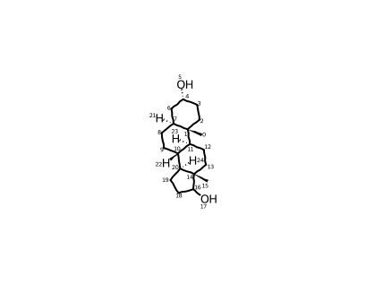 C[C@]12CC[C@@H](O)C[C@@H]1CC[C@@H]1[C@@H]2CC[C@]2(C)C(O)CC[C@@H]12